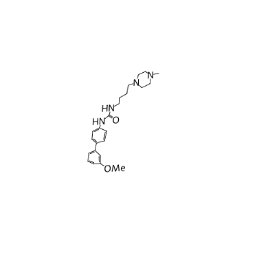 COc1cccc(-c2ccc(NC(=O)NCCCCN3CCN(C)CC3)cc2)c1